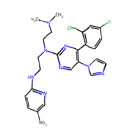 CN(C)CCN(CCNc1ccc([N+](=O)[O-])cn1)c1ncc(-n2ccnc2)c(-c2ccc(Cl)cc2Cl)n1